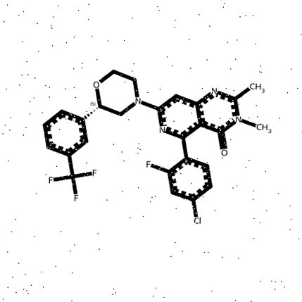 Cc1nc2cc(N3CCO[C@@H](c4cccc(C(F)(F)F)c4)C3)nc(-c3ccc(Cl)cc3F)c2c(=O)n1C